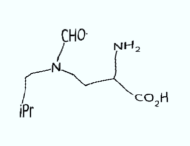 CC(C)CN([C]=O)CC(N)C(=O)O